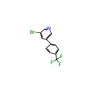 FC(F)(F)c1ccc(-c2cncc(Br)c2)cc1